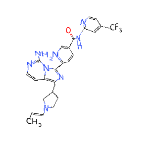 CC=CN1CCC(c2nc(-c3ccc(C(=O)Nc4cc(C(F)(F)F)ccn4)cn3)n3c(N)nccc23)C1